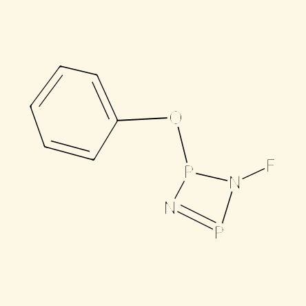 Fn1pnp1Oc1ccccc1